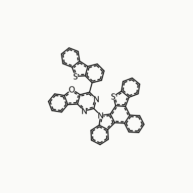 c1ccc2c(c1)oc1c(-c3cccc4c3sc3ccccc34)nc(-n3c4ccccc4c4c5ccccc5c5c6ccccc6sc5c43)nc12